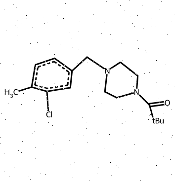 Cc1ccc(CN2CCN(C(=O)C(C)(C)C)CC2)cc1Cl